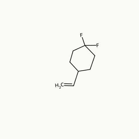 C=CC1CCC(F)(F)CC1